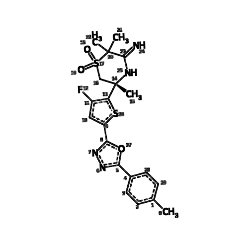 Cc1ccc(-c2nnc(-c3cc(F)c([C@]4(C)CS(=O)(=O)C(C)(C)C(=N)N4)s3)o2)cc1